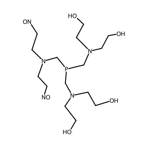 O=NCCN(CCN=O)CP(CN(CCO)CCO)CN(CCO)CCO